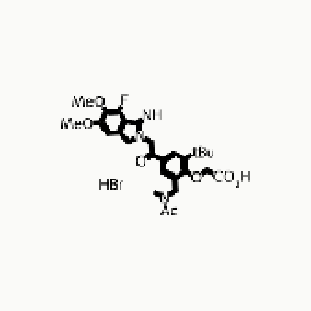 Br.COc1cc2c(c(F)c1OC)C(=N)N(CC(=O)c1cc(CN(C)C(C)=O)c(OCC(=O)O)c(C(C)(C)C)c1)C2